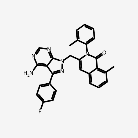 Cc1ccccc1-n1c(Cn2nc(-c3ccc(F)cc3)c3c(N)ncnc32)cc2cccc(C)c2c1=O